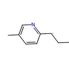 CC[CH]c1ccc(C)cn1